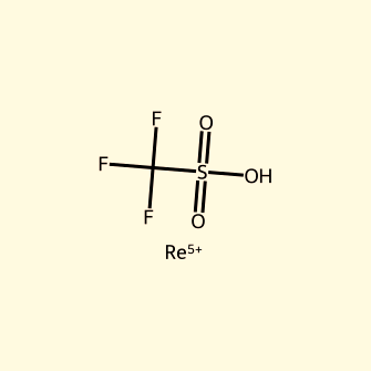 O=S(=O)(O)C(F)(F)F.[Re+5]